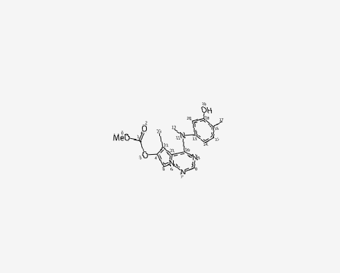 COC(=O)Oc1cn2ncnc(N(C)c3ccc(C)c(O)c3)c2c1C